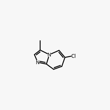 Cc1cnc2ccc(Cl)cn12